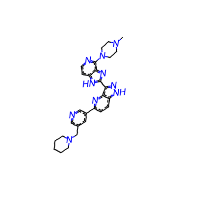 CN1CCN(c2nccc3[nH]c(-c4n[nH]c5ccc(-c6cncc(CN7CCCCC7)c6)nc45)nc23)CC1